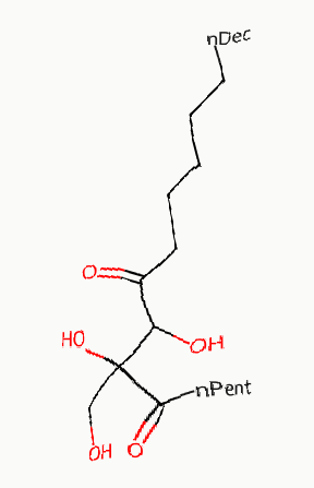 CCCCCCCCCCCCCCCC(=O)C(O)C(O)(CO)C(=O)CCCCC